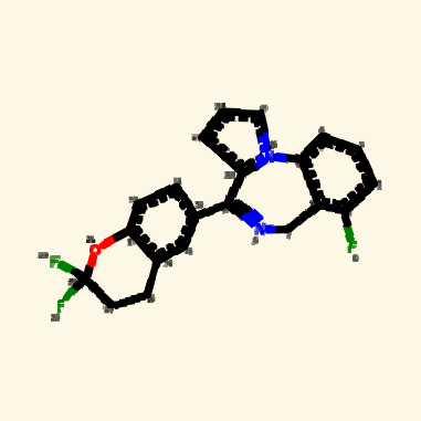 Fc1cccc2c1CN=C(c1ccc3c(c1)CCC(F)(F)O3)c1cccn1-2